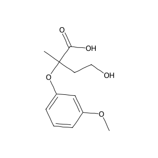 COc1cccc(OC(C)(CCO)C(=O)O)c1